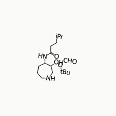 CC(C)(C)OC=O.CC(C)CCC(=O)NC1CCCNCC1O